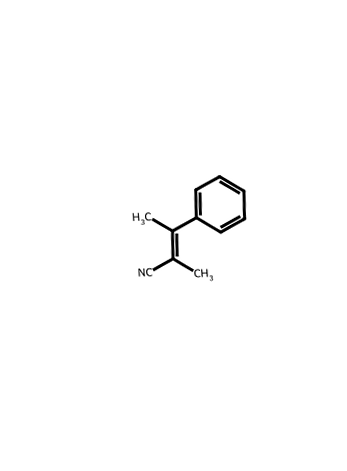 CC(C#N)=C(C)c1ccccc1